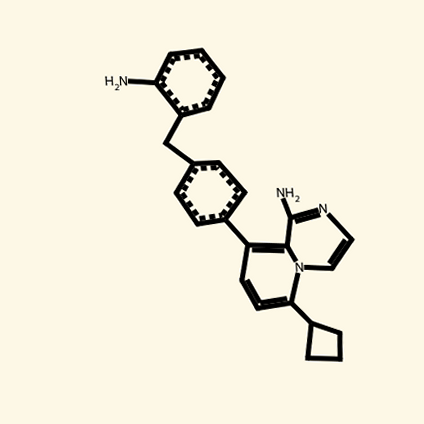 NC1=NC=CN2C(C3CCC3)=C=CC(c3ccc(Cc4ccccc4N)cc3)=C12